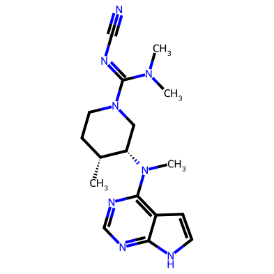 C[C@@H]1CCN(C(=NC#N)N(C)C)C[C@@H]1N(C)c1ncnc2[nH]ccc12